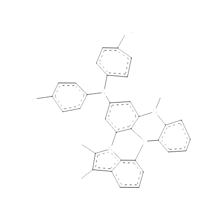 Cc1c(C)n2c3c(cccc13)B1c3ccccc3N(C)c3cc(N(c4ccc(C(C)(C)C)cc4)c4ccc(C(C)(C)C)cc4)cc-2c31